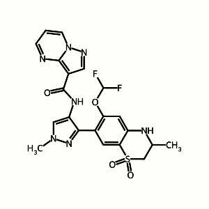 CC1CS(=O)(=O)c2cc(-c3nn(C)cc3NC(=O)c3cnn4cccnc34)c(OC(F)F)cc2N1